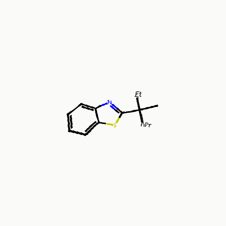 CCCC(C)(CC)c1nc2ccccc2s1